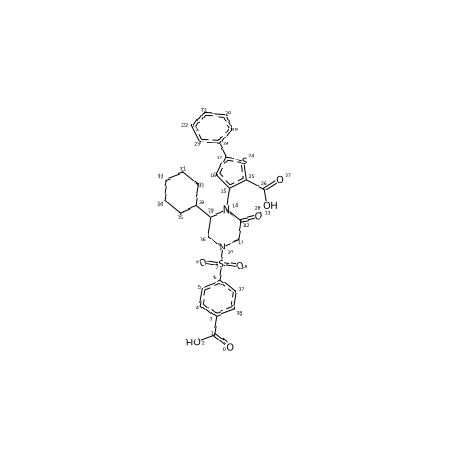 O=C(O)c1ccc(S(=O)(=O)N2CC(=O)N(c3cc(-c4ccccc4)sc3C(=O)O)C(C3CCCCC3)C2)cc1